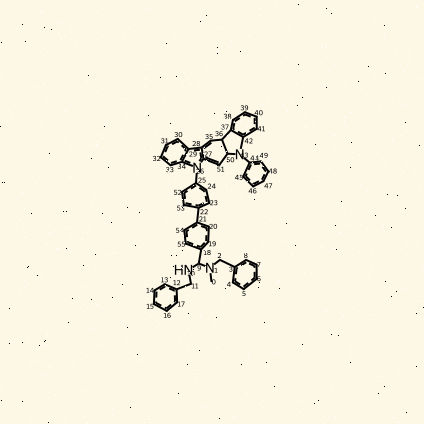 CN(Cc1ccccc1)C(NCc1ccccc1)c1ccc(-c2ccc(-n3c4c(c5ccccc53)=CC3c5ccccc5N(c5ccccc5)C3C=4)cc2)cc1